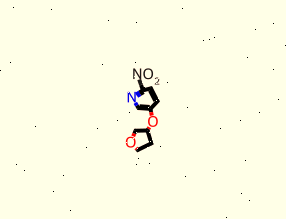 O=[N+]([O-])c1ccc(OC2CCOC2)cn1